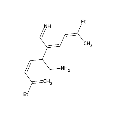 C=C(/C=C\C(CN)/C(C=N)=C/C=C(\C)CC)CC